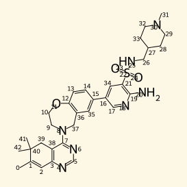 CC1=Cc2ncnc(N3CCOc4ccc(-c5cnc(N)c(S(=O)(=O)NCC6CCN(C)CC6)c5)cc4C3)c2CC1(C)C